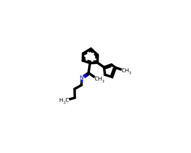 CCCC/N=C(\C)c1ccccc1C1=CC(C)=CC1